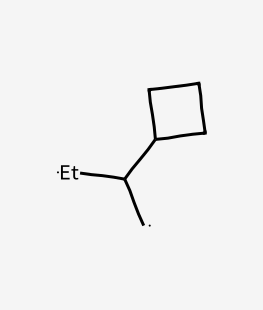 [CH2]C([CH]C)C1CCC1